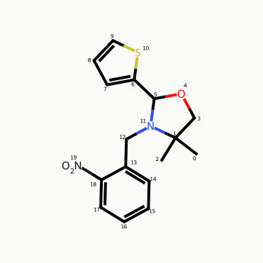 CC1(C)COC(c2cccs2)N1Cc1ccccc1[N+](=O)[O-]